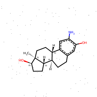 C[C@]12CC[C@@H]3c4cc(N)c(O)cc4CC[C@H]3[C@@H]1CC[C@H]2O